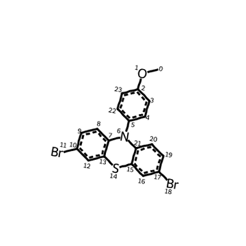 COc1ccc(N2c3ccc(Br)cc3Sc3cc(Br)ccc32)cc1